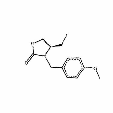 COc1ccc(CN2C(=O)OC[C@H]2CF)cc1